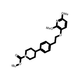 COc1ccc(OCCc2ccc(C3CCN(C(=O)OC(C)(C)C)CC3)cc2)c(OC)n1